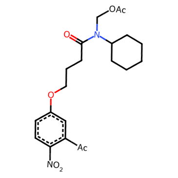 CC(=O)OCN(C(=O)CCCOc1ccc([N+](=O)[O-])c(C(C)=O)c1)C1CCCCC1